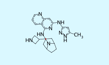 Cc1cc(Nc2cc3ncccc3c(NC3CC4CCC(C3)N4CC3CNC3)n2)n[nH]1